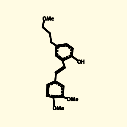 COCCCc1ccc(O)c(/C=C/c2ccc(OC)c(OC)c2)c1